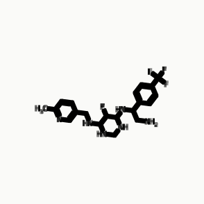 Cc1ccc(CNC2NCNC(NC(CN)c3ccc(C(F)(F)F)cc3)C2F)cn1